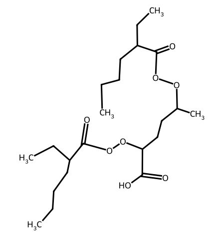 CCCCC(CC)C(=O)OOC(C)CCC(OOC(=O)C(CC)CCCC)C(=O)O